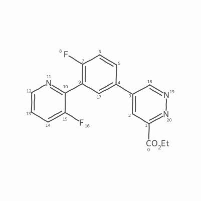 CCOC(=O)c1cc(-c2ccc(F)c(-c3ncccc3F)c2)cnn1